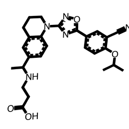 CC(C)Oc1ccc(-c2nc(N3CCCc4cc(C(C)NCCC(=O)O)ccc43)no2)cc1C#N